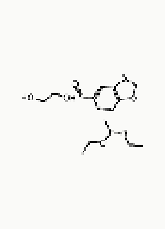 CCOC(C)OCC.O=Cc1ccc2c(c1)OCO2.OCCO